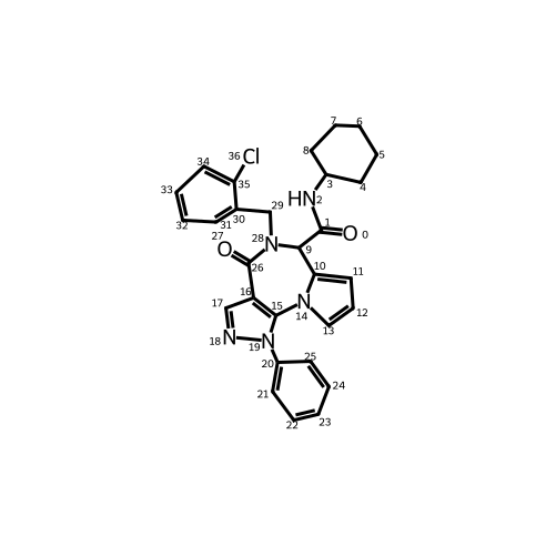 O=C(NC1CCCCC1)C1c2cccn2-c2c(cnn2-c2ccccc2)C(=O)N1Cc1ccccc1Cl